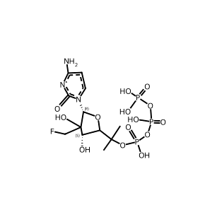 CC(C)(OP(=O)(O)OP(=O)(O)OP(=O)(O)O)C1O[C@@H](n2ccc(N)nc2=O)C(O)(CF)[C@H]1O